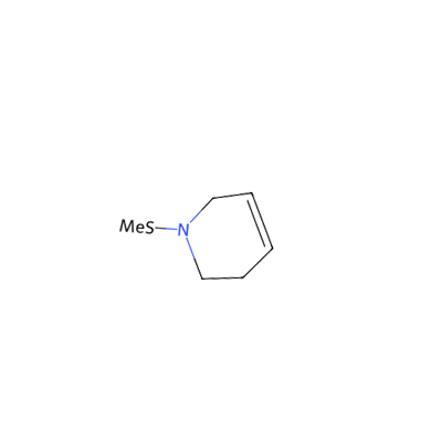 CSN1CC=CCC1